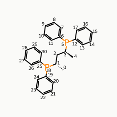 C[C@@H](C[C@H](C)P(c1ccccc1)c1ccccc1)P(c1ccccc1)c1ccccc1